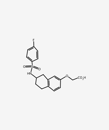 O=C(O)COc1ccc2c(c1)CC(NS(=O)(=O)c1ccc(F)cc1)CC2